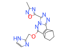 Cc1noc(-c2nnc3c4c(c(OCc5ncc[nH]5)nn23)C2CCC4CC2)n1